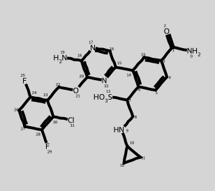 NC(=O)c1ccc(C(CNC2CC2)S(=O)(=O)O)c(-c2cnc(N)c(OCc3c(F)ccc(F)c3Cl)n2)c1